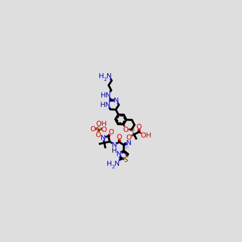 CC(O/N=C(\C(=O)NC1C(=O)N(OS(=O)(=O)O)C1(C)C)c1csc(N)n1)(C(=O)O)[C@H]1CCc2cc(C3CN=C(NCCCN)NC3)ccc2O1